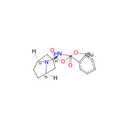 CC(C)(C)OC(=O)N[C@H]1C[C@H]2CC[C@@H](C1)N2C(=O)OCc1ccccc1